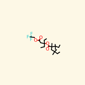 CCC(C)(C)CC(C)(C(=O)OC(CC)(CC)CC(=O)OCC(F)(F)F)C(C)(C)CC